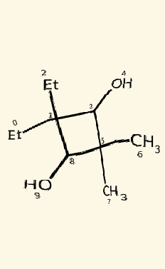 CCC1(CC)C(O)C(C)(C)C1O